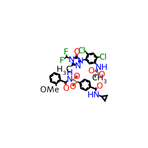 COc1ccccc1C(=O)NS(=O)(=O)c1ccc(C(=O)NC2CC2)cc1.Cc1nn(-c2cc(NS(C)(=O)=O)c(Cl)cc2Cl)c(=O)n1C(F)F